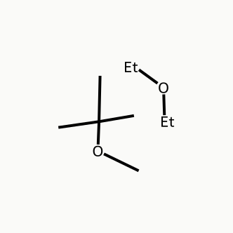 CCOCC.COC(C)(C)C